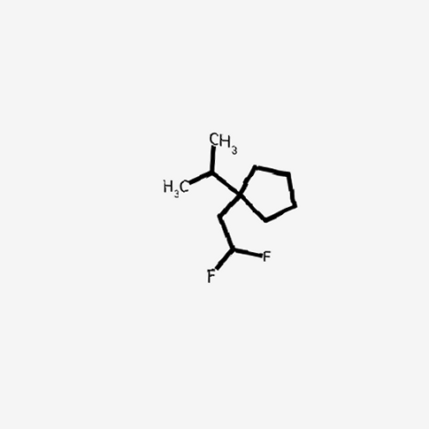 CC(C)C1(CC(F)F)CCCC1